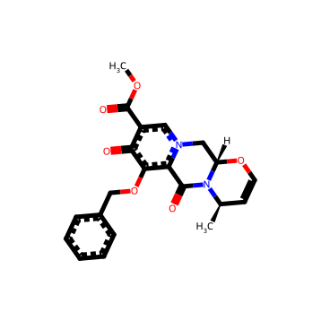 COC(=O)c1cn2c(c(OCc3ccccc3)c1=O)C(=O)N1[C@H](C)C=CO[C@H]1C2